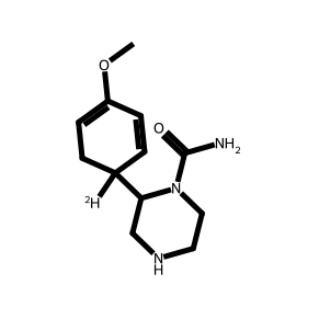 [2H]C1(C2CNCCN2C(N)=O)C=CC(OC)=CC1